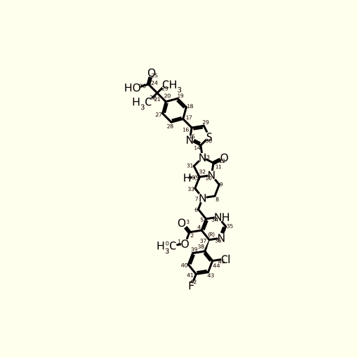 COC(=O)C1=C(CN2CCN3C(=O)N(c4nc(-c5ccc(C(C)(C)C(=O)O)cc5)cs4)C[C@@H]3C2)NC=N[C@H]1c1ccc(F)cc1Cl